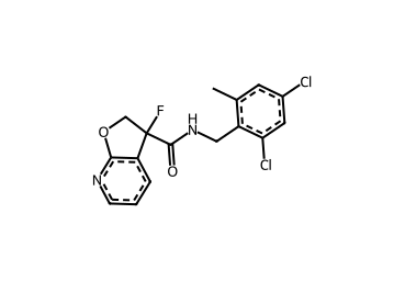 Cc1cc(Cl)cc(Cl)c1CNC(=O)C1(F)COc2ncccc21